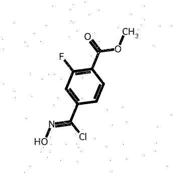 COC(=O)c1ccc(C(Cl)=NO)cc1F